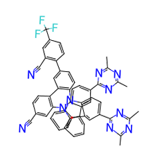 Cc1nc(C)nc(-c2ccc3c(c2)c2ccccc2n3-c2ccc(-c3ccc(C(F)(F)F)cc3C#N)cc2-c2ccc(C#N)cc2-n2c3ccccc3c3cc(-c4nc(C)nc(C)n4)ccc32)n1